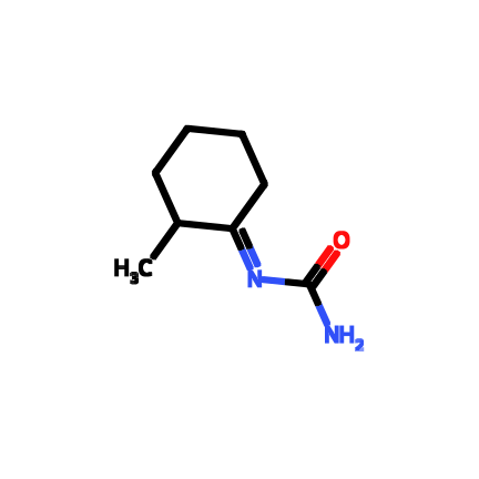 CC1CCCCC1=NC(N)=O